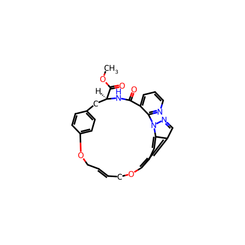 COC(=O)[C@@H]1Cc2ccc(cc2)OC/C=C/COc2ccc3c(cnn3-c3ncccc3C(=O)N1)c2